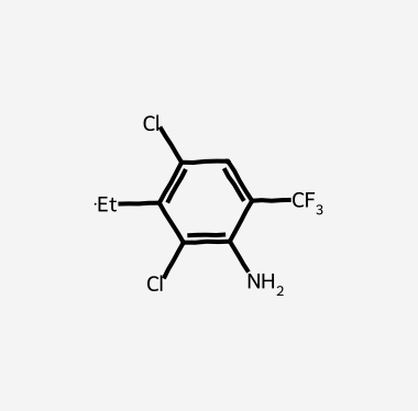 C[CH]c1c(Cl)cc(C(F)(F)F)c(N)c1Cl